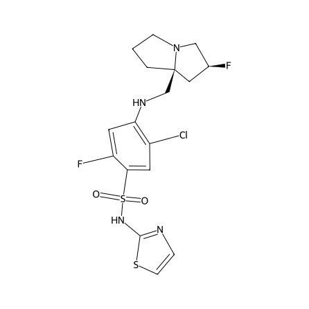 O=S(=O)(Nc1nccs1)c1cc(Cl)c(NC[C@@]23CCCN2C[C@@H](F)C3)cc1F